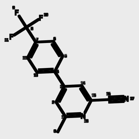 Cc1cc(-c2ccc(C(F)(F)F)cc2)cc(C#N)n1